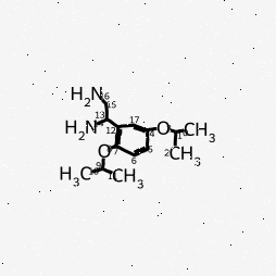 CC(C)Oc1ccc(OC(C)C)c(C(N)CN)c1